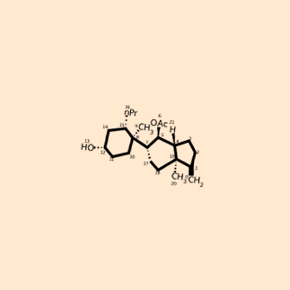 C=C1CC[C@H]2[C@H](OC(C)=O)[C@@H]([C@@]3(C)CC[C@H](O)C[C@@H]3CCC)CC[C@]12C